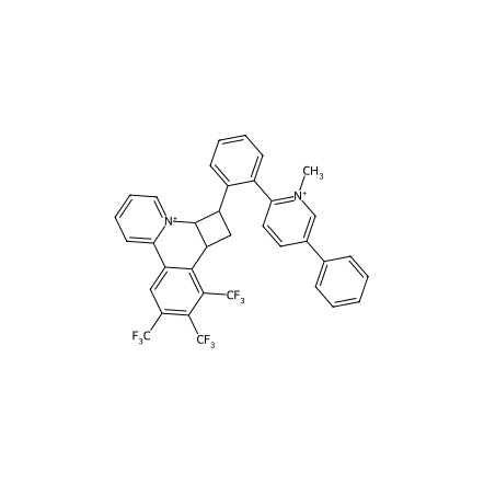 C[n+]1cc(-c2ccccc2)ccc1-c1ccccc1C1CC2c3c(cc(C(F)(F)F)c(C(F)(F)F)c3C(F)(F)F)-c3cccc[n+]3C12